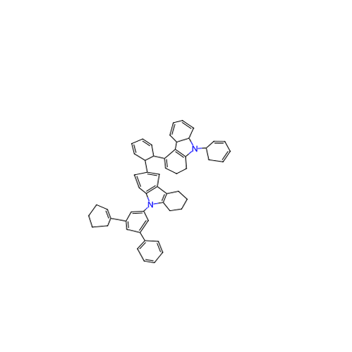 C1=CCC(N2C3=C(C(C4C=CC=CC4c4ccc5c(c4)c4c(n5-c5cc(C6=CCCCC6)cc(-c6ccccc6)c5)CCCC4)=CCC3)C3C=CC=CC32)C=C1